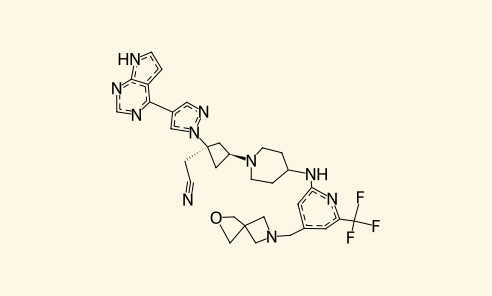 N#CC[C@]1(n2cc(-c3ncnc4[nH]ccc34)cn2)C[C@@H](N2CCC(Nc3cc(CN4CC5(COC5)C4)cc(C(F)(F)F)n3)CC2)C1